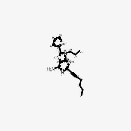 CCCCC#Cc1nc(N)c2nc(-c3cccs3)n(CCC)c2n1